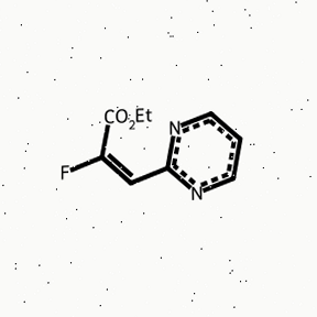 CCOC(=O)/C(F)=C\c1ncccn1